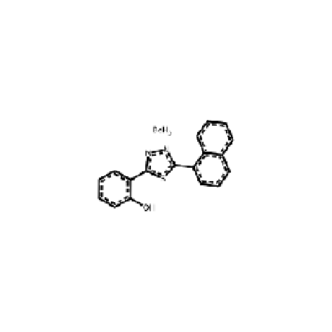 Oc1ccccc1-c1nnc(-c2cccc3ccccc23)s1.[BeH2]